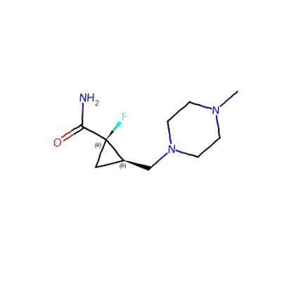 CN1CCN(C[C@H]2C[C@]2(F)C(N)=O)CC1